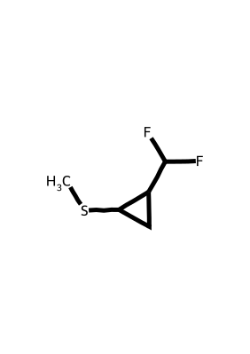 CSC1CC1C(F)F